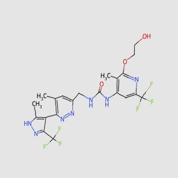 Cc1cc(CNC(=O)Nc2cc(C(F)(F)F)nc(OCCO)c2C)nnc1-c1c(C(F)(F)F)n[nH]c1C